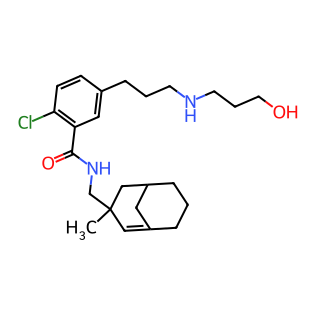 CC1(CNC(=O)c2cc(CCCNCCCO)ccc2Cl)C=C2CCCC(C2)C1